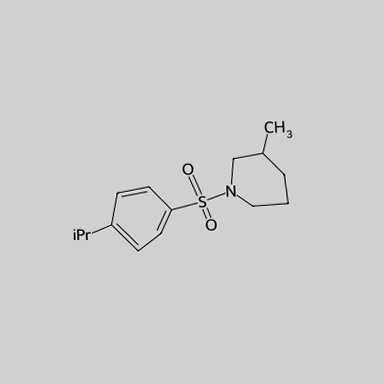 CC1CCCN(S(=O)(=O)c2ccc(C(C)C)cc2)C1